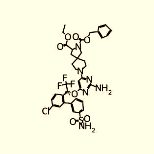 CCOC(=O)C1CC2(CCN(c3cc(O[C@H](c4ccc(Cl)cc4-c4cccc(S(N)(=O)=O)c4)C(F)(F)F)nc(N)n3)CC2)CN1C(=O)OCc1ccccc1